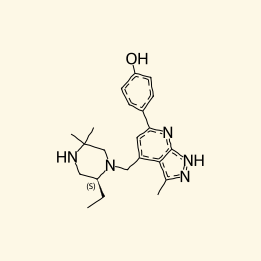 CC[C@H]1CNC(C)(C)CN1Cc1cc(-c2ccc(O)cc2)nc2[nH]nc(C)c12